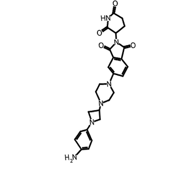 Nc1ccc(N2CC(N3CCN(c4ccc5c(c4)C(=O)N(C4CCC(=O)NC4=O)C5=O)CC3)C2)cc1